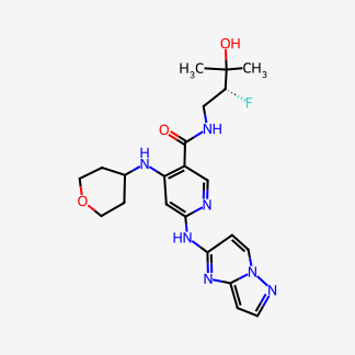 CC(C)(O)[C@H](F)CNC(=O)c1cnc(Nc2ccn3nccc3n2)cc1NC1CCOCC1